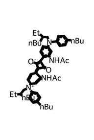 CCCCc1ccc(N(CC(CC)CCCC)c2ccc(C3=C([O-])/C(=C4C=C/C(=[N+](\CC(CC)CCCC)c5ccc(CCCC)cc5)C=C\4NC(C)=O)C3=O)c(NC(C)=O)c2)cc1